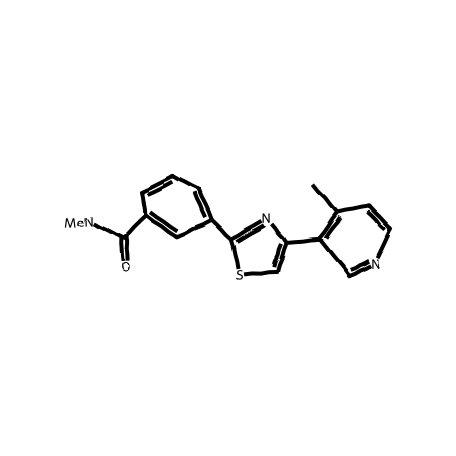 CNC(=O)c1cccc(-c2nc(-c3cnccc3C)cs2)c1